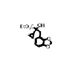 CCOC(=O)C(O)(Cc1cccc2c1OCO2)C1CC1